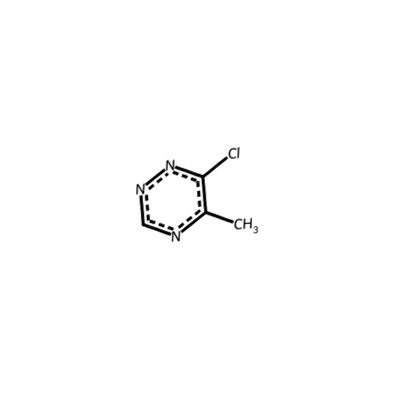 Cc1ncnnc1Cl